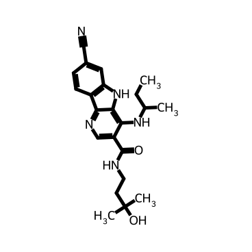 CCC(C)Nc1c(C(=O)NCCC(C)(C)O)cnc2c1[nH]c1cc(C#N)ccc12